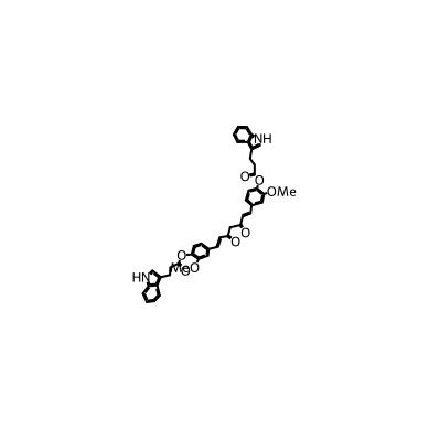 COc1cc(/C=C/C(=O)CC(=O)/C=C/c2ccc(OC(=O)CCc3c[nH]c4ccccc34)c(OC)c2)ccc1OC(=O)CCc1c[nH]c2ccccc12